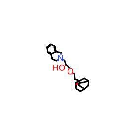 OC(COCCC12CC3CC(CC(C3)C1)C2)CN1CCc2ccccc2C1